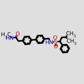 CNC(=O)Cc1ccc(-c2ccc(CNS(=O)(=O)C(CC(C)C)c3ccccc3)cc2)cc1